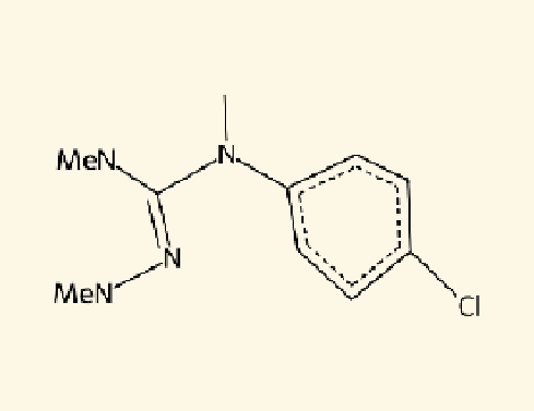 CNN=C(NC)N(C)c1ccc(Cl)cc1